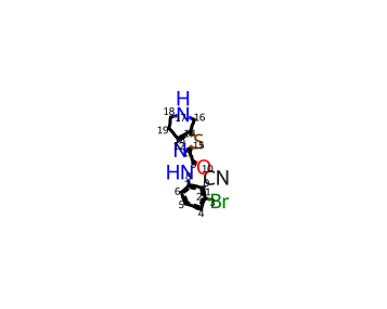 N#Cc1c(Br)cccc1NC(=O)c1nc2c(s1)CNCC2